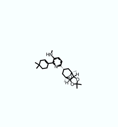 CNc1ccc([C@H]2C[C@@]3(C)O[C@@](C)(C2)[C@@H]2OC(C)(C)O[C@@H]23)nc1C1=CCC(C)(C)CC1